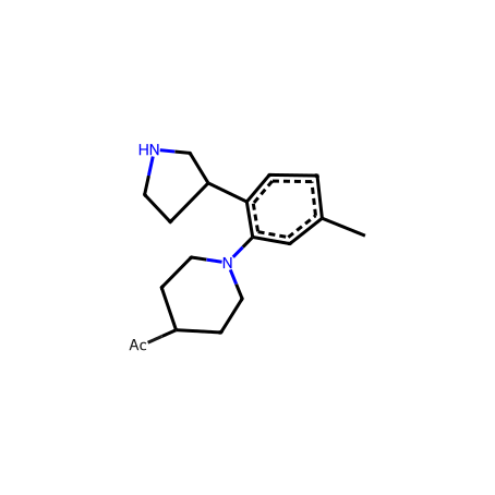 CC(=O)C1CCN(c2cc(C)ccc2C2CCNC2)CC1